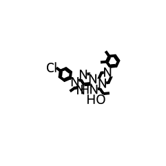 Cc1cccc(N2CCN(C(Nc3ncnc4c3nc(C)n4-c3ccc(Cl)cc3)C(C)O)CC2)c1C